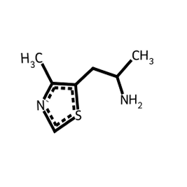 Cc1ncsc1CC(C)N